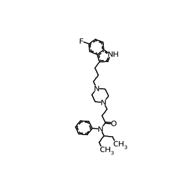 CCC(CC)N(C(=O)CCN1CCN(CCCc2c[nH]c3ccc(F)cc23)CC1)c1ccccc1